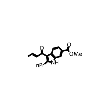 CC=CC(=O)c1c(CCC)[nH]c2cc(C(=O)OC)ccc12